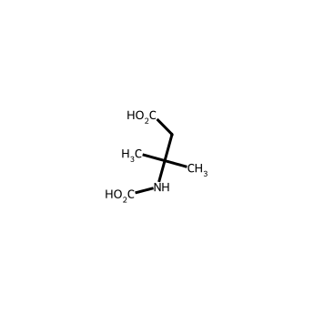 CC(C)(CC(=O)O)NC(=O)O